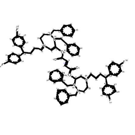 O=C(/C=C/C(=O)OC1CN(CCCC(c2ccc(F)cc2)c2ccc(F)cc2)CCN(Cc2ccccc2)N1Cc1ccccc1)OC1CN(CCCC(c2ccc(F)cc2)c2ccc(F)cc2)CCN(Cc2ccccc2)N1Cc1ccccc1